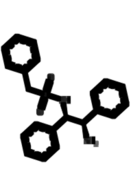 N[C@H](c1ccccc1)[C@H](NS(=O)(=O)Cc1ccccc1)c1ccccc1